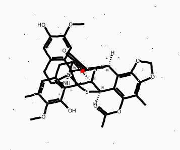 COc1cc2c(cc1O)CCN[C@]21CS[C@@H]2c3c(OC(C)=O)c(C)c4c(c3[C@H](COC1=O)N1CC3Cc5cc(C)c(OC)c(O)c5C([C@H]21)N3C)OCO4